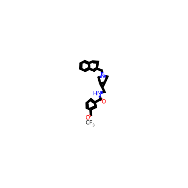 O=C(NCC1C2CN(Cc3ccc4ccccc4c3)CC12)c1cccc([CH]OC(F)(F)F)c1